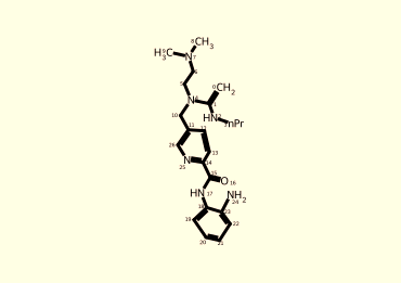 C=C(NCCC)N(CCN(C)C)Cc1ccc(C(=O)Nc2ccccc2N)nc1